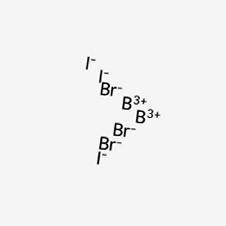 [B+3].[B+3].[Br-].[Br-].[Br-].[I-].[I-].[I-]